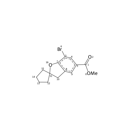 COC(=O)c1cc(Br)c2c(c1)CC1(CCCC1)O2